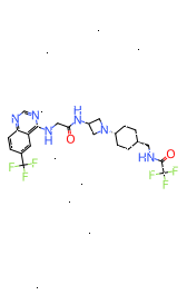 O=C(CNc1ncnc2ccc(C(F)(F)F)cc12)NC1CN([C@H]2CC[C@H](CNC(=O)C(F)(F)F)CC2)C1